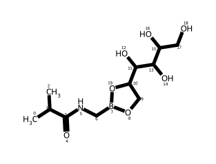 CC(C)C(=O)NCB1OCC(C(O)C(O)C(O)CO)O1